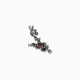 CC(C)Oc1ccccc1[C@@H]1CN(Cc2ccc(F)c(F)c2)CCN1C1CC2(CCN(c3cc(N4c5cc6cc[nH]c6nc5O[C@H]5COCC[C@@H]54)c(C(=O)NS(=O)(=O)c4cc5c(c([N+](=O)[O-])c4)N[C@H](C4CCOCC4)CO5)cc3F)CC2)C1